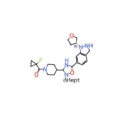 CCCCCCCN1OC(c2ccc3c(c2)N([C@@H]2CCOC2)NC3)NC1C1CCN(C(=O)C2(F)CC2)CC1